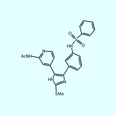 CSc1nc(-c2cccc(NS(=O)(=O)c3ccccc3)c2)c(-c2ccnc(NC(C)=O)c2)[nH]1